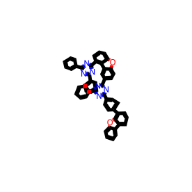 c1ccc(-c2nc(-c3ccc(-c4cccc5c4oc4ccccc45)cc3)nc(-c3ccc4oc5cccc(-c6nc(-c7ccccc7)nc(-c7ccccc7)n6)c5c4c3)n2)cc1